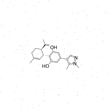 C=C(C)[C@@H]1CCC(C)=C[C@H]1c1c(O)cc(-c2cnn(C)c2C)cc1O